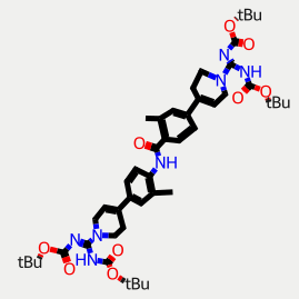 Cc1cc(C2=CCN(/C(=N/C(=O)OC(C)(C)C)NC(=O)OC(C)(C)C)CC2)ccc1NC(=O)c1ccc(C2=CCN(/C(=N/C(=O)OC(C)(C)C)NC(=O)OC(C)(C)C)CC2)cc1C